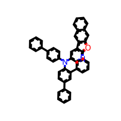 c1ccc(-c2ccc(N(c3cnc4oc5cc6ccccc6cc5c4c3)c3ccc(-c4ccccc4)cc3-c3ccccc3)cc2)cc1